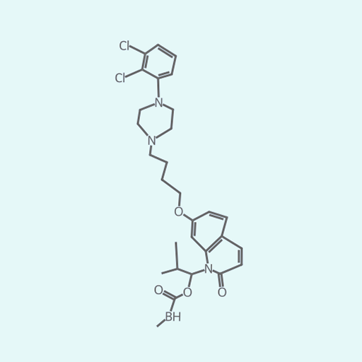 CBC(=O)OC(C(C)C)n1c(=O)ccc2ccc(OCCCCN3CCN(c4cccc(Cl)c4Cl)CC3)cc21